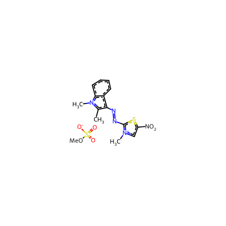 COS(=O)(=O)[O-].Cc1c(N=Nc2sc([N+](=O)[O-])c[n+]2C)c2ccccc2n1C